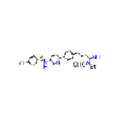 CCN(C=O)C(=N)CCCc1ccc(-c2ccc(NSc3ccc(Cl)cc3)cn2)cc1